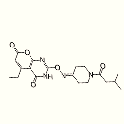 CCc1cc(=O)oc2nc(ON=C3CCN(C(=O)CC(C)C)CC3)[nH]c(=O)c12